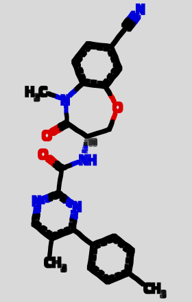 Cc1ccc(-c2nc(C(=O)N[C@H]3COc4cc(C#N)ccc4N(C)C3=O)ncc2C)cc1